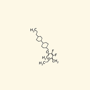 C=C(OCC)/C(F)=C(/F)C(=C)OCC1CCC(C2CCC(CCC)CC2)CC1